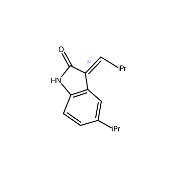 CC(C)/C=C1/C(=O)Nc2ccc(C(C)C)cc21